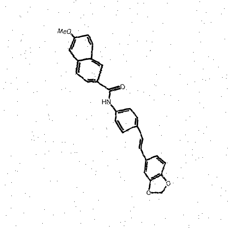 COc1ccc2cc(C(=O)Nc3ccc(/C=C/c4ccc5c(c4)OCO5)cc3)ccc2c1